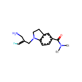 CCN(CC)C(=O)c1ccc2c(c1)CCN2C/C(=C/F)CN